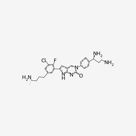 C[C@H](N)CCCc1cc(Cl)c(F)c(-c2cc3cn(-c4ccc([C@@H](N)CCN)cc4)c(=O)nc3[nH]2)c1